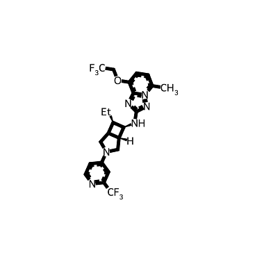 CC[C@@H]1C2CN(c3ccnc(C(F)(F)F)c3)C[C@H]2[C@@H]1Nc1nc2c(OCC(F)(F)F)ccc(C)n2n1